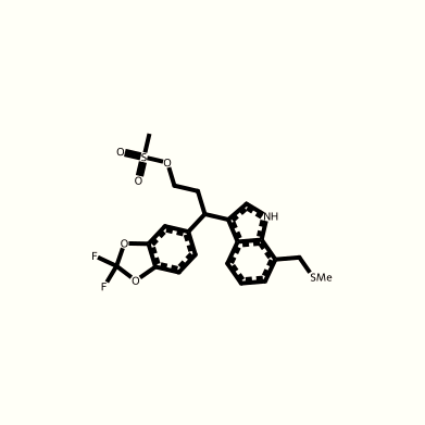 CSCc1cccc2c(C(CCOS(C)(=O)=O)c3ccc4c(c3)OC(F)(F)O4)c[nH]c12